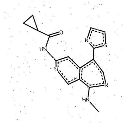 CNc1ncc(-c2nccs2)c2cc(NC(=O)C3CC3)ncc12